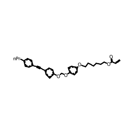 C=CC(=O)OCCCCCCOc1ccc(OCOc2ccc(C#Cc3ccc(CCC)cc3)cc2)cc1